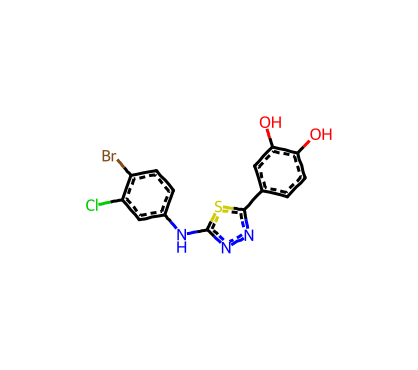 Oc1ccc(-c2nnc(Nc3ccc(Br)c(Cl)c3)s2)cc1O